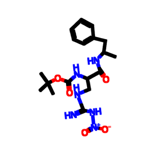 CC(Cc1ccccc1)NC(=O)C(CNC(=N)N[N+](=O)[O-])NC(=O)OC(C)(C)C